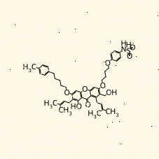 CC(C)=CCc1c(OCCCCCc2ccc(C)cc2)cc2oc3cc(OCCCCOc4ccc(N[SH](=O)=O)cc4)c(CO)c(CC=C(C)C)c3c(=O)c2c1O